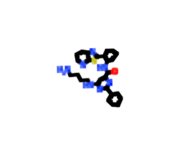 NCCCCNc1cc(C(=O)Nc2ccccc2-c2nc3cccnc3s2)nc(-c2ccccc2)n1